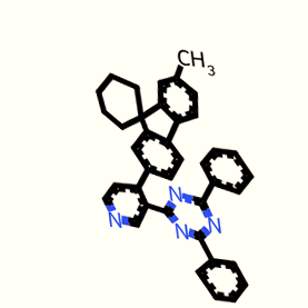 Cc1ccc2c(c1)C1(CCCCC1)c1cc(-c3ccncc3-c3nc(-c4ccccc4)nc(-c4ccccc4)n3)ccc1-2